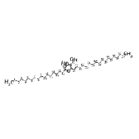 CCCCCCCCCCC/C=C/CCCCC(=O)O[C](C=CCCCCCCCCCCCCCCCC)C(O)CO